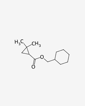 CC1(C)CC1C(=O)OCC1CCCCC1